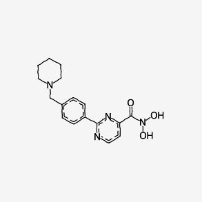 O=C(c1ccnc(-c2ccc(CN3CCCCC3)cc2)n1)N(O)O